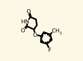 Cc1cc(F)cc(OC2CCC(=O)NC2=O)c1